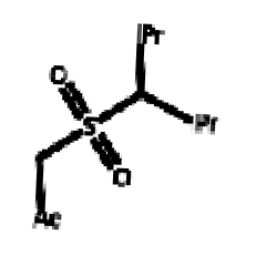 CC(=O)CS(=O)(=O)C(C(C)C)C(C)C